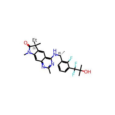 CC[C@]1(C)C(=O)N(C)c2cc3nc(C)nc(N[C@H](C)c4cccc(C(F)(F)C(C)(C)O)c4F)c3cc21